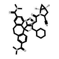 CN(C)C(=O)c1ccc2c(c1)CCc1cc(C(=O)N(C)C)ccc1C2(C[C@H](NCC(=O)N1C(C#N)C[C@@H]2C[C@@H]21)C1CCCCC1)c1nnn[nH]1